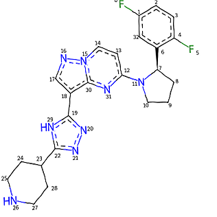 Fc1ccc(F)c([C@H]2CCCN2c2ccn3ncc(-c4nnc(C5CCNCC5)[nH]4)c3n2)c1